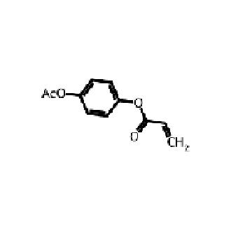 C=CC(=O)Oc1ccc(OC(C)=O)cc1